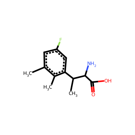 Cc1cc(F)cc(C(C)C(N)C(=O)O)c1C